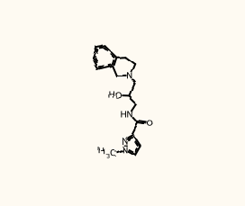 Cn1ccc(C(=O)NCC(O)CN2CCc3ccccc3C2)n1